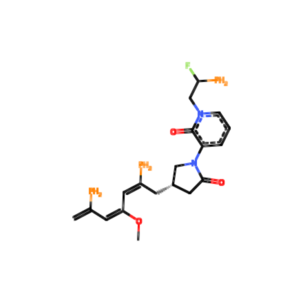 C=C(P)/C=C(\C=C(\P)C[C@H]1CC(=O)N(c2cccn(CC(F)P)c2=O)C1)OC